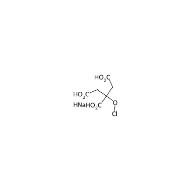 O=C(O)CC(CC(=O)O)(OCl)C(=O)O.[NaH]